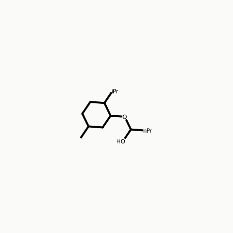 CCCC(O)OC1CC(C)CCC1C(C)C